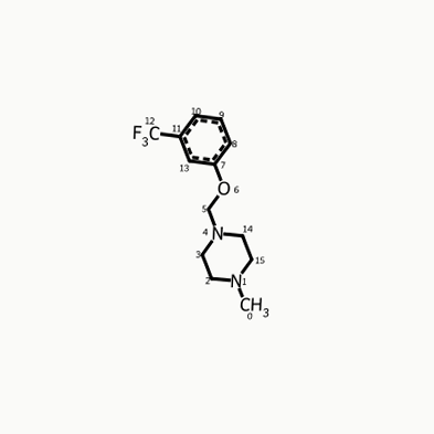 CN1CCN(COc2cccc(C(F)(F)F)c2)CC1